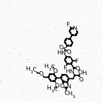 CCOCc1cc(OC)c(-c2ccc(CC(NC(=O)c3c(F)cc(NS(=O)(=O)c4ccc(-c5ccnc(F)c5)cc4)cc3F)C(=O)O)c3nc(C)oc23)c(OC)c1